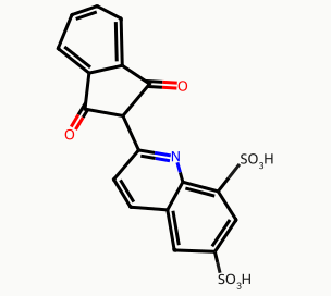 O=C1c2ccccc2C(=O)C1c1ccc2cc(S(=O)(=O)O)cc(S(=O)(=O)O)c2n1